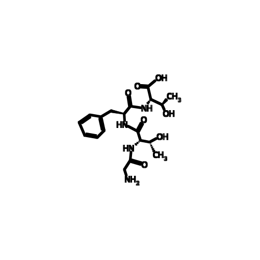 C[C@@H](O)[C@H](NC(=O)[C@H](Cc1ccccc1)NC(=O)[C@@H](NC(=O)CN)[C@@H](C)O)C(=O)O